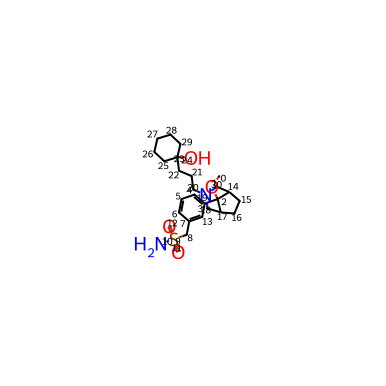 COC1(c2cccc(CS(N)(=O)=O)c2)C2CCC1CN(CCCC1(O)CCCCC1)C2